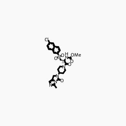 COC(=O)N[C@H](CS(=O)(=O)c1ccc2cc(Cl)ccc2c1)C(=O)N1CCC(N2Cc3cnc(C)n3C2=O)CC1